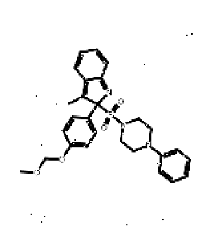 COCOc1ccc(C2(S(=O)(=O)N3CCN(c4ccccc4)CC3)N=c3ccccc3=C2C)cc1